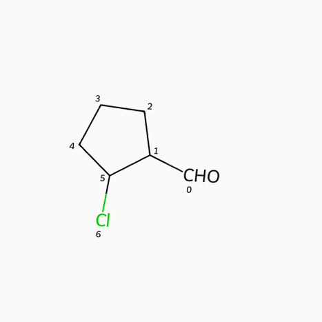 O=CC1CCCC1Cl